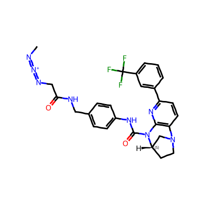 CN=[N+]=NCC(=O)NCc1ccc(NC(=O)N2c3nc(-c4cccc(C(F)(F)F)c4)ccc3N3CC[C@H]2C3)cc1